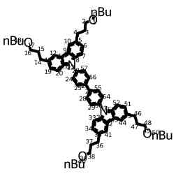 CCCCOCCCc1ccc2c(c1)c1cc(CCCOCCCC)ccc1n2-c1ccc(-c2ccc(-n3c4ccc(CCCOCCCC)cc4c4cc(CCCOCCCC)ccc43)cc2)cc1